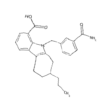 CCCC1CCc2c(n(Cc3cccc(C(N)=O)c3)c3c(C(=O)O)cccc23)C1